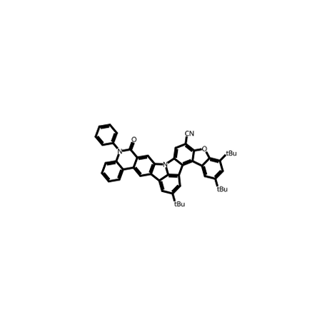 CC(C)(C)c1cc(C(C)(C)C)c2oc3c(C#N)cc4c(c5cc(C(C)(C)C)cc6c7cc8c(cc7n4c65)c(=O)n(-c4ccccc4)c4ccccc84)c3c2c1